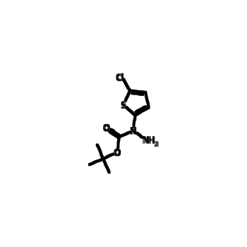 CC(C)(C)OC(=O)N(N)c1ccc(Cl)s1